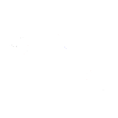 CCCCCCCCCCCCOC(=O)CCCCCCN(CCO)CCCCCCCC(=O)OC(CCCCCCCC)CCCCCCCCC